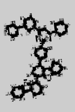 c1ccc(-c2cc(-c3cccc(-c4ccncc4)c3)nc(-c3ccc(-c4ccc(-c5cccc6c5sc5ccccc56)c5oc6ccccc6c45)cc3)n2)cc1